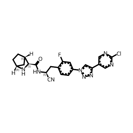 N#C[C@H](Cc1ccc(-n2cc(-c3cnc(Cl)nc3)nn2)cc1F)NC(=O)[C@H]1N[C@@H]2CC[C@H]1C2